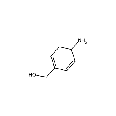 NC1C=CC(CO)=CC1